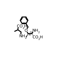 CC(CN)C(=O)O.C[C@@H](OCc1ccccc1)[C@H](N)C(=O)O